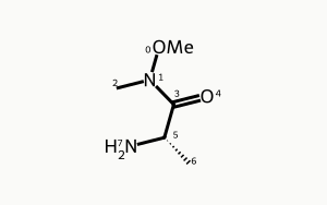 CON(C)C(=O)[C@H](C)N